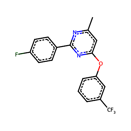 Cc1cc(Oc2cccc(C(F)(F)F)c2)nc(-c2ccc(F)cc2)n1